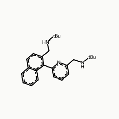 CC(C)(C)NCc1cccc(-c2c(CNC(C)(C)C)ccc3ccccc23)n1